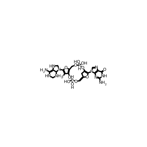 NC1=C2NCN(c3oc4c(c3F)O[PH](O)(O)O/C=C3\CC(=C(n5cnc6c(=O)[nH]c(N)nc65)O3)O[PH](O)(O)OC4)C2NCN1